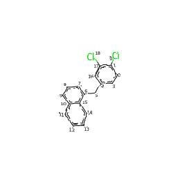 Clc1ccc(Cc2[c]ccc3ccccc23)cc1Cl